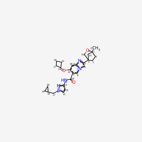 CC12CCC(c3cn4cc(C(=O)Nc5ccn(CC6CC6)n5)c(OC5CCC5)cc4n3)(CO1)C2